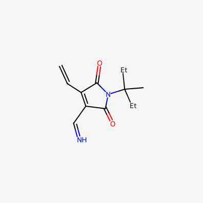 C=CC1=C(C=N)C(=O)N(C(C)(CC)CC)C1=O